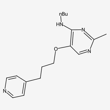 CCCCNc1nc(C)ncc1OCCCc1ccncc1